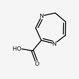 O=C(O)C1=NC=CCN=C1